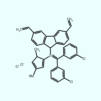 C=Cc1ccc2c(c1)-c1cc(C=C)ccc1[CH]2[Zr+2]([C]1=CC(C(C)(C)C)=CC1C)=[C](c1cccc(Cl)c1)c1cccc(Cl)c1.[Cl-].[Cl-]